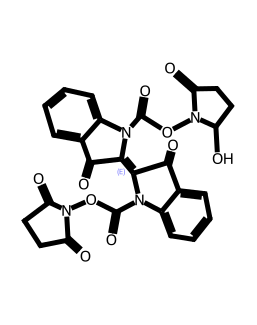 O=C1/C(=C2/C(=O)c3ccccc3N2C(=O)ON2C(=O)CCC2O)N(C(=O)ON2C(=O)CCC2=O)c2ccccc21